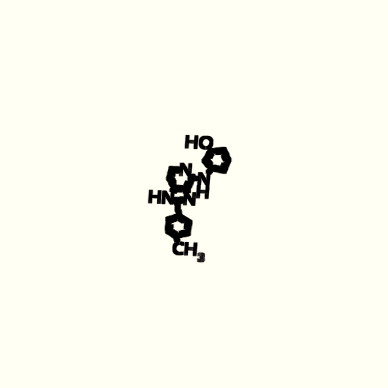 Cc1ccc(-c2nc3c(Nc4cccc(O)c4)nccc3[nH]2)cc1